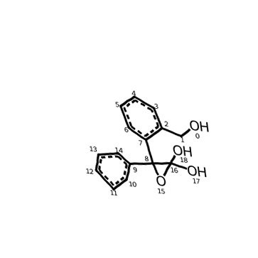 OCc1ccccc1C1(c2ccccc2)OC1(O)O